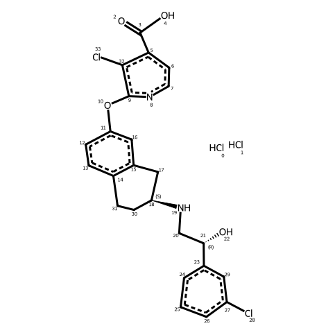 Cl.Cl.O=C(O)c1ccnc(Oc2ccc3c(c2)C[C@@H](NC[C@H](O)c2cccc(Cl)c2)CC3)c1Cl